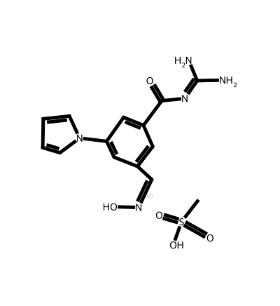 CS(=O)(=O)O.NC(N)=NC(=O)c1cc(/C=N\O)cc(-n2cccc2)c1